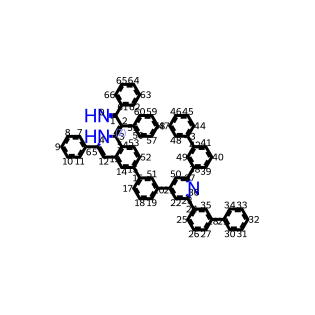 N=C(/C(=C1\NC(c2ccccc2)=Cc2cc(-c3cccc(-c4cc(-c5cccc(-c6ccccc6)c5)nc(-c5cccc(-c6ccccc6)c5)c4)c3)ccc21)c1ccccc1)c1ccccc1